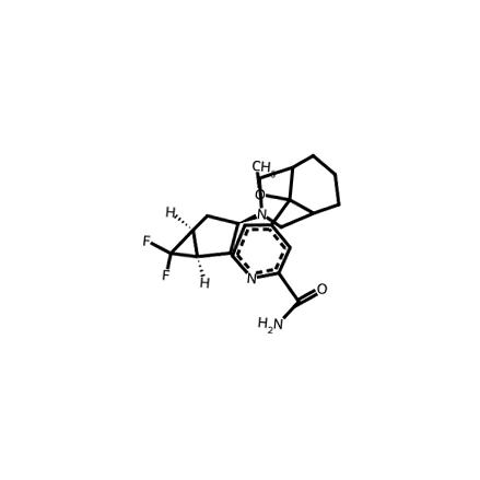 COC1(c2ccnc(C(N)=O)c2)C2CCCC1CN([C@H]1C[C@@H]3[C@H](C1)C3(F)F)C2